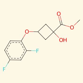 COC(=O)C1(O)CC(Oc2ccc(F)cc2F)C1